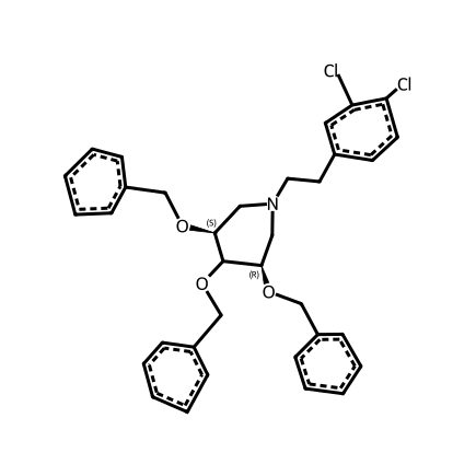 Clc1ccc(CCN2C[C@H](OCc3ccccc3)C(OCc3ccccc3)[C@H](OCc3ccccc3)C2)cc1Cl